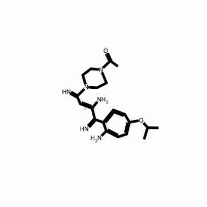 CC(=O)N1CCN(C(=N)/C=C(\N)C(=N)C2=C=CC(OC(C)C)=CC=C2N)CC1